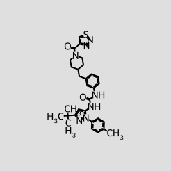 Cc1ccc(-n2nc(C(C)(C)C)cc2NC(=O)Nc2cccc(CC3CCN(C(=O)c4csnn4)CC3)c2)cc1